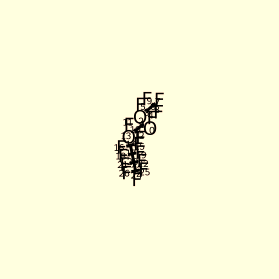 O=C(OC(F)(F)C(F)(F)F)C(F)(F)OC(F)(F)C(F)(F)C(F)(F)C(F)(F)F